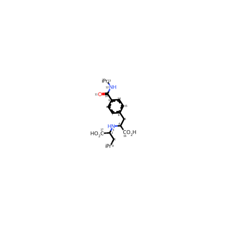 CC(C)CC(NC(Cc1ccc(C(=O)NC(C)C)cc1)C(=O)O)C(=O)O